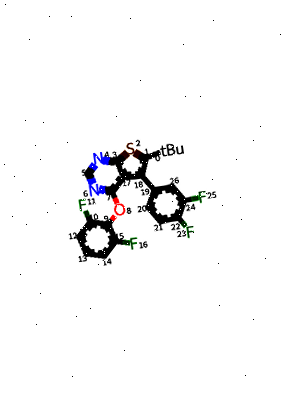 CC(C)(C)c1sc2ncnc(Oc3c(F)cccc3F)c2c1-c1ccc(F)c(F)c1